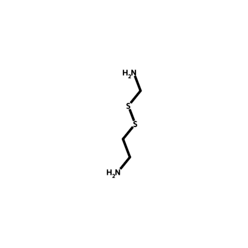 NCCSSCN